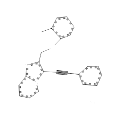 O=C(O)c1ccccc1OCc1nc2ccccn2c1C#Cc1ccccc1.[NaH]